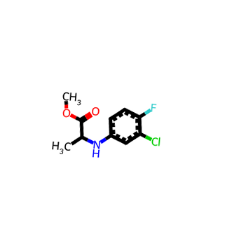 COC(=O)C(C)Nc1ccc(F)c(Cl)c1